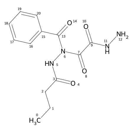 CCCC(=O)NN(C(=O)C(=O)NN)C(=O)c1ccccc1